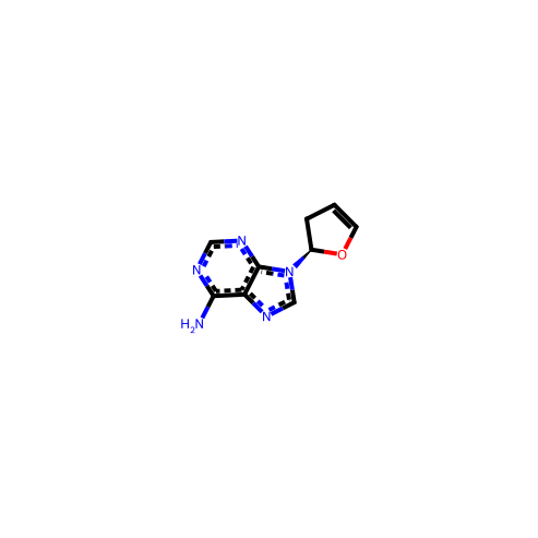 Nc1ncnc2c1ncn2[C@H]1CC=CO1